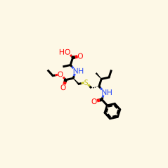 CCOC(=O)[C@H](CSC[C@@H](NC(=O)c1ccccc1)[C@@H](C)CC)NC(C)C(=O)O